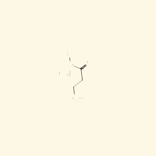 CCCC(=O)OF.[CaH2]